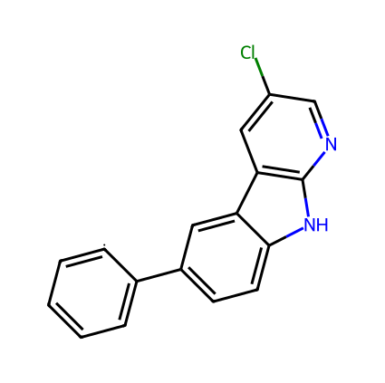 Clc1cnc2[nH]c3ccc(-c4[c]cccc4)cc3c2c1